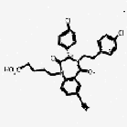 C#Cc1ccc2c(c1)C(=O)N(CCc1ccc(Cl)cc1)[C@@H](c1ccc(Cl)cc1)C(=O)N2CCCCC(=O)O